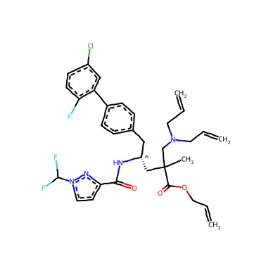 C=CCOC(=O)C(C)(C[C@@H](Cc1ccc(-c2cc(Cl)ccc2F)cc1)NC(=O)c1ccn(C(F)F)n1)CN(CC=C)CC=C